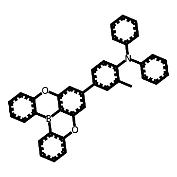 Cc1cc(-c2cc3c4c(c2)Oc2ccccc2B4c2ccccc2O3)ccc1N(c1ccccc1)c1ccccc1